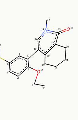 CCOc1ccc(SC)cc1-c1cn(C)c(=O)c2c1CCCC2